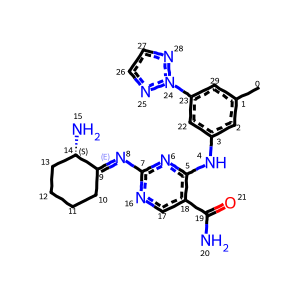 Cc1cc(Nc2nc(/N=C3\CCCC[C@@H]3N)ncc2C(N)=O)cc(-n2nccn2)c1